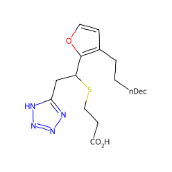 CCCCCCCCCCCCc1ccoc1C(Cc1nnn[nH]1)SCCC(=O)O